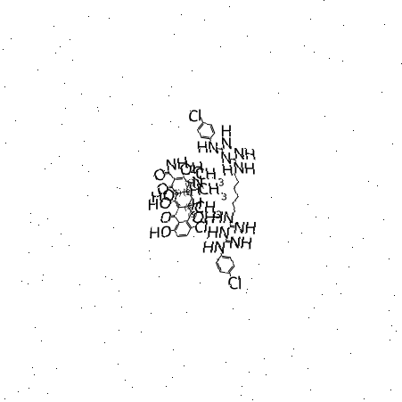 CN(C)[C@@H]1C(O)=C(C(N)=O)C(=O)[C@@]2(O)C(O)=C3C(=O)c4c(O)ccc(Cl)c4[C@@](C)(O)[C@H]3C[C@@H]12.N=C(NCCCCCCNC(=N)NC(=N)Nc1ccc(Cl)cc1)NC(=N)Nc1ccc(Cl)cc1